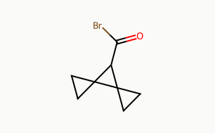 O=C(Br)C1C2(CC2)C12CC2